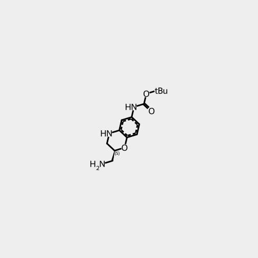 CC(C)(C)OC(=O)Nc1ccc2c(c1)NC[C@H](CN)O2